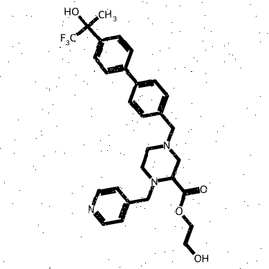 CC(O)(c1ccc(-c2ccc(CN3CCN(Cc4ccncc4)C(C(=O)OCCO)C3)cc2)cc1)C(F)(F)F